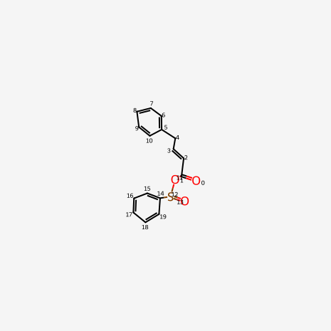 O=C(C=CCc1ccccc1)OS(=O)c1ccccc1